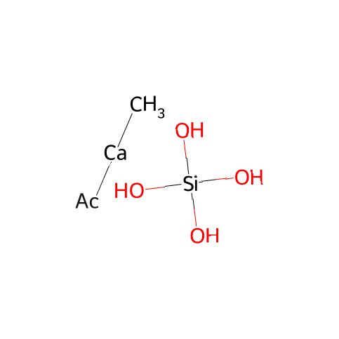 O[Si](O)(O)O.[CH3][Ca][C](C)=O